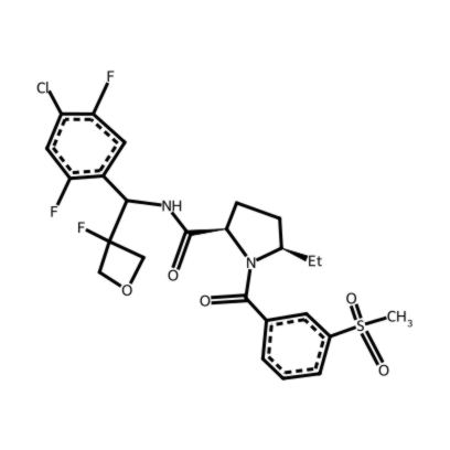 CC[C@@H]1CC[C@H](C(=O)NC(c2cc(F)c(Cl)cc2F)C2(F)COC2)N1C(=O)c1cccc(S(C)(=O)=O)c1